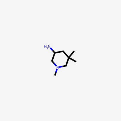 CN1CC(N)CC(C)(C)C1